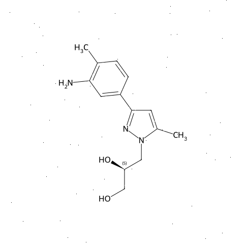 Cc1ccc(-c2cc(C)n(C[C@H](O)CO)n2)cc1N